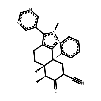 C[C@@H]1C(=O)C(C#N)C[C@]2(c3ccccc3)c3nn(C)c(-c4cncnc4)c3CC[C@@H]12